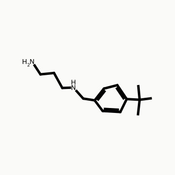 CC(C)(C)c1ccc(CNCCCN)cc1